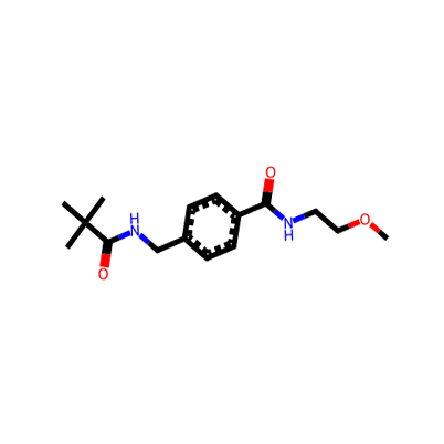 COCCNC(=O)c1ccc(CNC(=O)C(C)(C)C)cc1